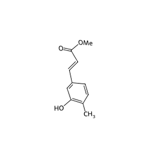 COC(=O)/C=C/c1ccc(C)c(O)c1